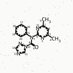 Cc1cc(C)nc(N(C(=O)n2cncn2)c2ccccc2)n1